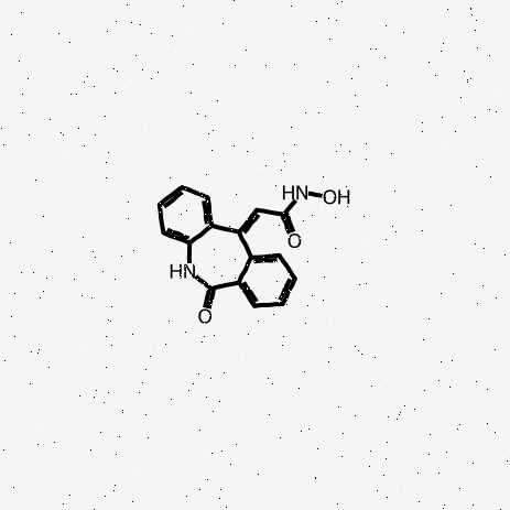 O=C(C=C1c2ccccc2NC(=O)c2ccccc21)NO